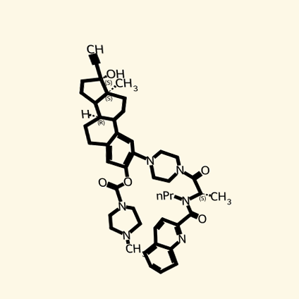 C#C[C@]1(O)CCC2[C@@H]3CCc4cc(OC(=O)N5CCN(C)CC5)c(N5CCN(C(=O)[C@H](C)N(CCC)C(=O)c6ccc7ccccc7n6)CC5)cc4C3CC[C@@]21C